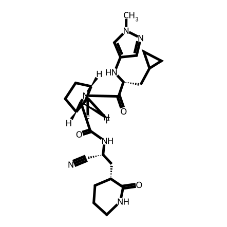 Cn1cc(N[C@H](CC2CC2)C(=O)N2[C@H]3CC[C@@H]([C@H]2C(=O)N[C@@H](C#N)C[C@H]2CCCNC2=O)C(F)(F)C3)cn1